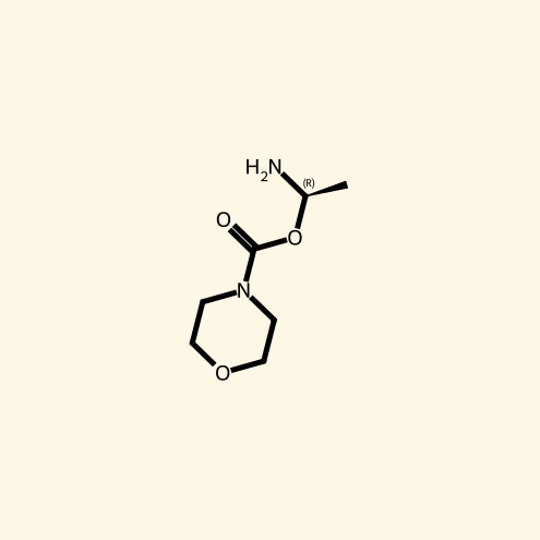 C[C@H](N)OC(=O)N1CCOCC1